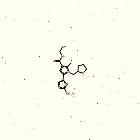 CCOC(=O)c1nc(-c2cc(C(=O)NCC(C)C)c(C)n2CC2CCCO2)cs1